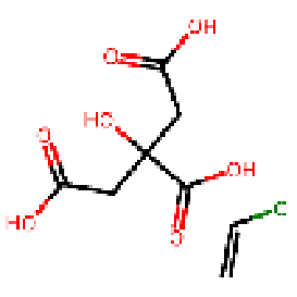 C=CCl.O=C(O)CC(O)(CC(=O)O)C(=O)O